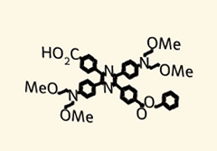 COCCN(CCOC)c1ccc(-c2nc(-c3ccc(C(=O)OCc4ccccc4)cc3)c(-c3ccc(N(CCOC)CCOC)cc3)nc2-c2ccc(C(=O)O)cc2)cc1